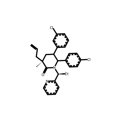 C=CC[C@@]1(C)CC(c2cccc(Cl)c2)C(c2ccc(Cl)cc2)N([C@@H](CC)c2ccccn2)C1=O